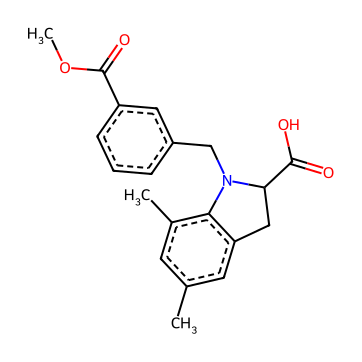 COC(=O)c1cccc(CN2c3c(C)cc(C)cc3CC2C(=O)O)c1